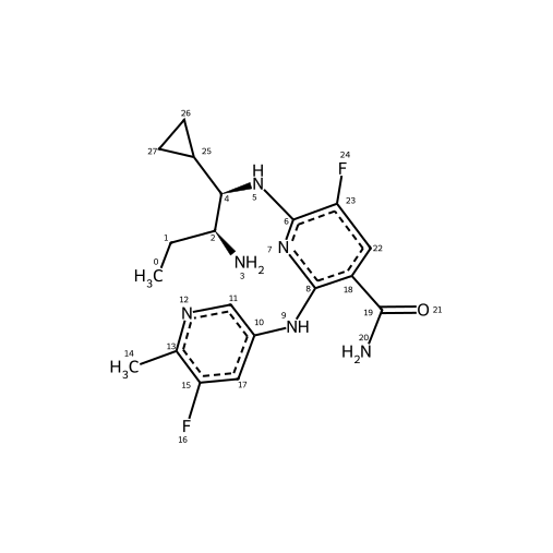 CC[C@H](N)[C@H](Nc1nc(Nc2cnc(C)c(F)c2)c(C(N)=O)cc1F)C1CC1